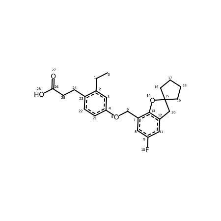 CCc1cc(OCc2cc(F)cc3c2OC2(CCCC2)C3)ccc1CCC(=O)O